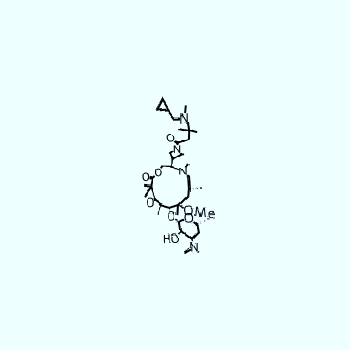 CO[C@]1(C)C[C@@H](C)CN(C)[C@H](C2CN(C(=O)CC(C)(C)CN(C)CC3CC3)C2)COC(=O)C(C)(C)C(=O)[C@H](C)[C@H]1O[C@@H]1O[C@H](C)C[C@H](N(C)C)[C@H]1O